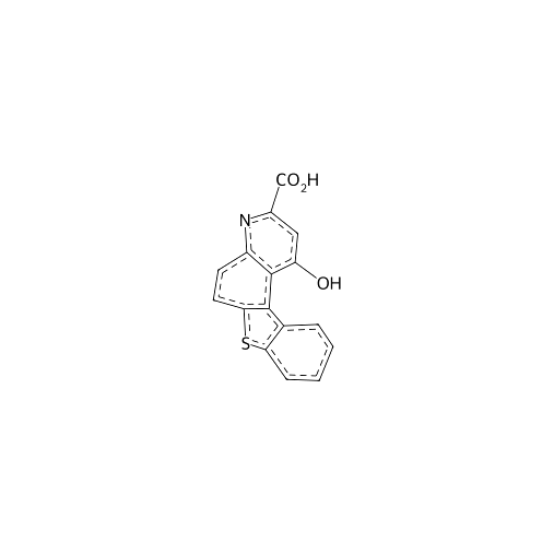 O=C(O)c1cc(O)c2c(ccc3sc4ccccc4c32)n1